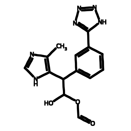 Cc1nc[nH]c1C(c1cccc(-c2nnn[nH]2)c1)C(O)OC=O